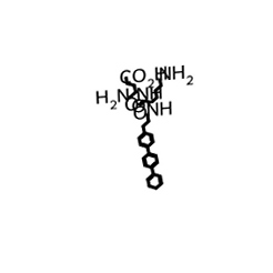 NCCCCC(NC(=O)CCc1ccc(-c2ccc(C3=CCCC=C3)cc2)cc1)C(=O)NC(CCC(=O)O)C(N)=O